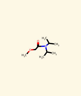 COCC(=O)N(C(C)C)C(C)C